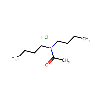 CCCCN(CCCC)C(C)=O.Cl